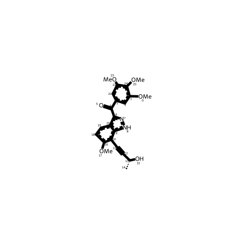 COc1cc(C(=O)c2n[nH]c3c(C#C[C@@H](C)O)c(OC)ccc23)cc(OC)c1OC